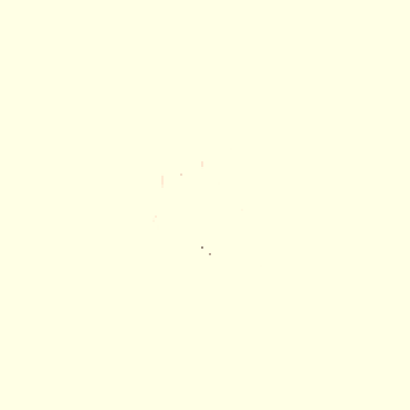 Cc1ccccc1C1CC(c2cccs2)=Nc2ccccc2S1